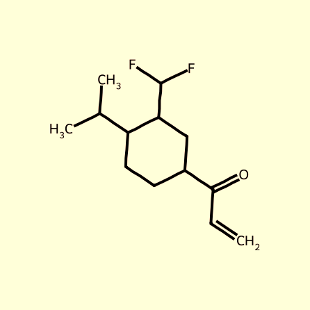 C=CC(=O)C1CCC(C(C)C)C(C(F)F)C1